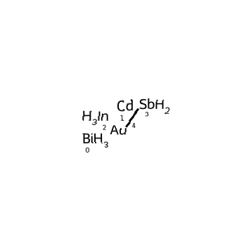 [BiH3].[Cd].[InH3].[SbH2][Au]